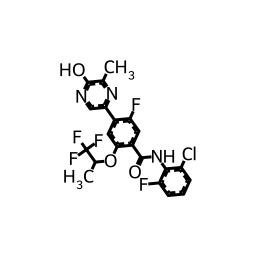 Cc1nc(-c2cc(OC(C)C(F)(F)F)c(C(=O)Nc3c(F)cccc3Cl)cc2F)cnc1O